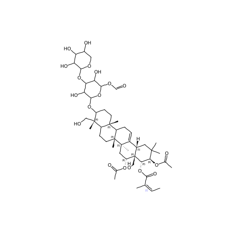 C/C=C(/C)C(=O)O[C@H]1[C@H](OC(C)=O)C(C)(C)C[C@H]2C3=CCC4[C@@]5(C)CCC(OC6OC(OC=O)C(O)C(OC7OCC(O)C(O)C7O)C6O)[C@@](C)(CO)C5CC[C@@]4(C)[C@]3(C)C[C@@H](OC(C)=O)[C@]21CO